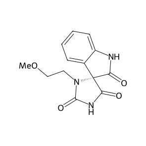 COCCN1C(=O)NC(=O)[C@@]12C(=O)Nc1ccccc12